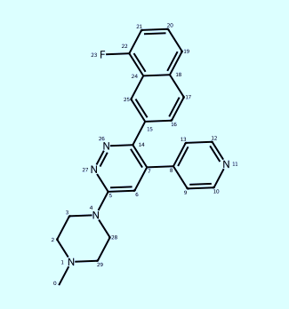 CN1CCN(c2cc(-c3ccncc3)c(-c3ccc4cccc(F)c4c3)nn2)CC1